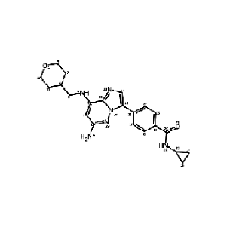 Nc1cc(NCC2CCOCC2)c2ncc(-c3ccc(C(=O)NC4CC4)cc3)n2n1